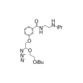 CC(C)COCCOC(COc1cccc(C(=O)NCCNC(C)C)c1)N=[N+]=[N-]